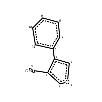 [CH2]CCCc1cocc1-c1ccccc1